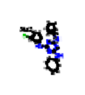 COc1ccc(Nc2nc(NC3CCCCCC3)nc(NC3CC4CCC3C4)n2)cc1Cl